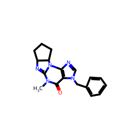 CN1C(=O)c2c(ncn2Cc2ccccc2)N2C1=NC1CCCC12